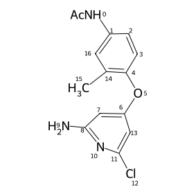 CC(=O)Nc1ccc(Oc2cc(N)nc(Cl)c2)c(C)c1